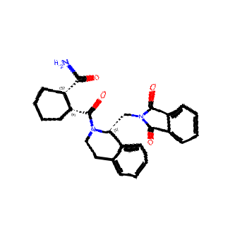 NC(=O)[C@H]1CCCC[C@H]1C(=O)N1CCc2ccccc2[C@H]1CN1C(=O)c2ccccc2C1=O